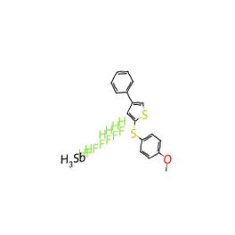 COc1ccc(Sc2cc(-c3ccccc3)cs2)cc1.F.F.F.F.F.F.[SbH3]